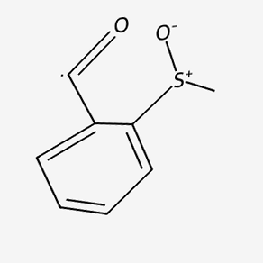 C[S+]([O-])c1ccccc1[C]=O